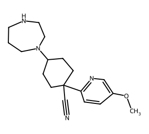 COc1ccc(C2(C#N)CCC(N3CCCNCC3)CC2)nc1